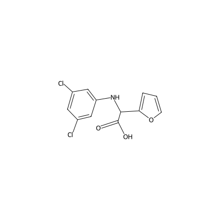 O=C(O)C(Nc1cc(Cl)cc(Cl)c1)c1ccco1